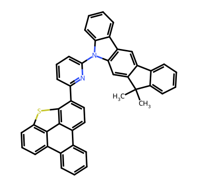 CC1(C)c2ccccc2-c2cc3c4ccccc4n(-c4cccc(-c5ccc6c7ccccc7c7cccc8sc5c6c87)n4)c3cc21